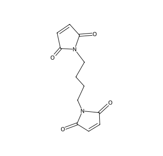 O=C1C=CC(=O)N1CCCCN1C(=O)C=CC1=O